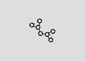 Cc1c(-c2cc3c4ccccc4n4c5ccccc5c(c2)c34)cccc1-c1cc2c3ccccc3n3c4ccccc4c(c1)c23